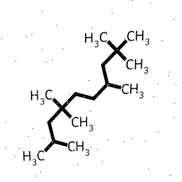 CC(C)CC(C)(C)CCC(C)CC(C)(C)C